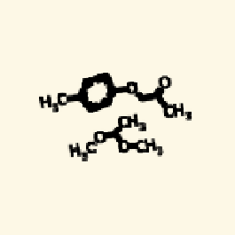 CC(=O)COc1ccc(C)cc1.COC(C)OC